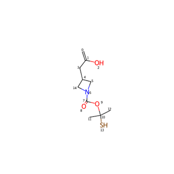 C=C(O)CC1CN(C(=O)OC(C)(C)S)C1